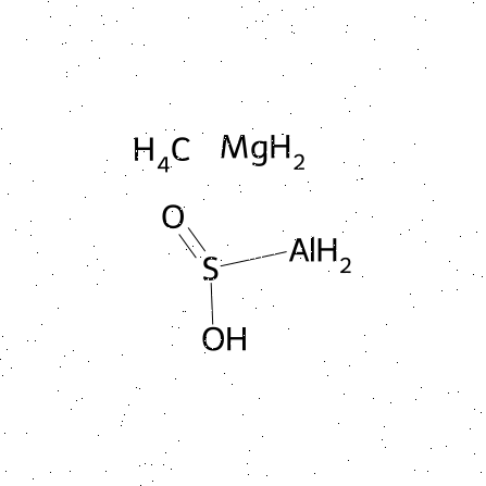 C.O=[S](O)[AlH2].[MgH2]